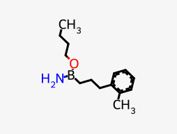 CCCCOB(N)CCCc1ccccc1C